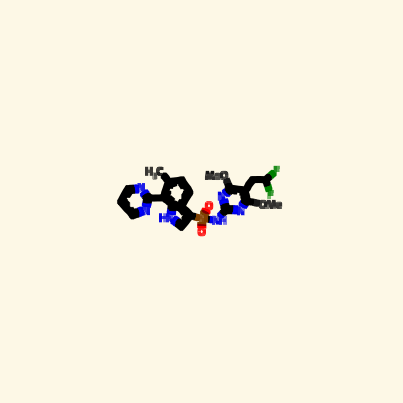 COc1nc(NS(=O)(=O)c2c[nH]c3c(-c4ncccn4)c(C)ccc23)nc(OC)c1CC(F)F